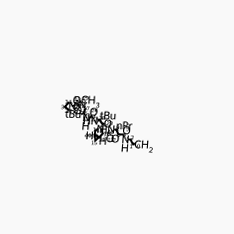 C=CCNC(=O)C(=O)C(CCC)NC(=O)[C@@H]1[C@H]2C[C@H]2CN1C(=O)[C@@H](NC(=O)N[C@H](CN(C)S(=O)(=O)N1CCC1)C(C)(C)C)C(C)(C)C